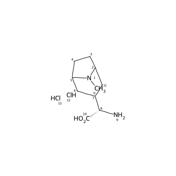 CN1C2CCC1CC([C@H](N)C(=O)O)C2.Cl.Cl